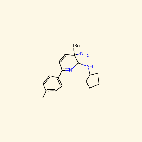 Cc1ccc(C2=NC(NC3CCCC3)C(N)(C(C)(C)C)C=C2)cc1